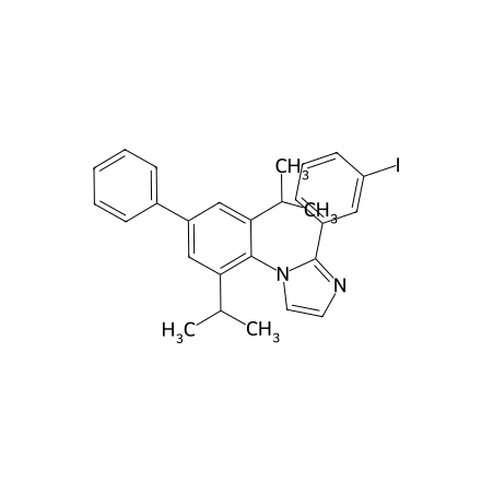 CC(C)c1cc(-c2ccccc2)cc(C(C)C)c1-n1ccnc1-c1cccc(I)c1